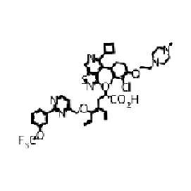 C=C/C(C[C@@H](Oc1nsc2cnc(C3CCC3)c(C3=C(C)C(Cl)=C(OCCN4CCN(C)CC4)CC3)c12)C(=O)O)=C(\C=C)OCc1ccnc(-c2cccc(OC(F)(F)F)c2)n1